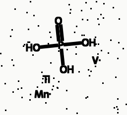 O=P(O)(O)O.[Mn].[Ti].[V]